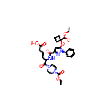 CCOC(=O)N1CCN(C(=O)C(CCCC(=O)O)NC(=O)c2cc(OC3(C(=O)OCC)CCC3)n(-c3ccccc3)n2)CC1